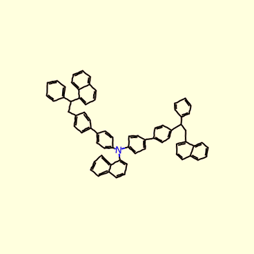 c1ccc(C(Cc2cccc3ccccc23)c2ccc(-c3ccc(N(c4ccc(-c5ccc(CC(c6ccccc6)c6cccc7ccccc67)cc5)cc4)c4cccc5ccccc45)cc3)cc2)cc1